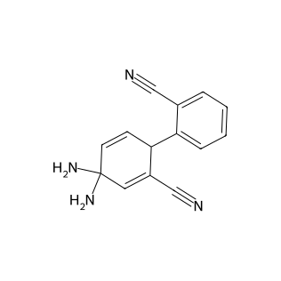 N#CC1=CC(N)(N)C=CC1c1ccccc1C#N